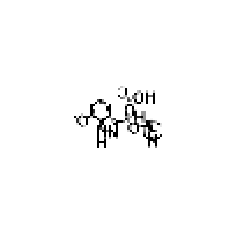 COc1cccc2c(C(=O)O[C@H]3CN4CCC3CC4)n[nH]c12.O=CO